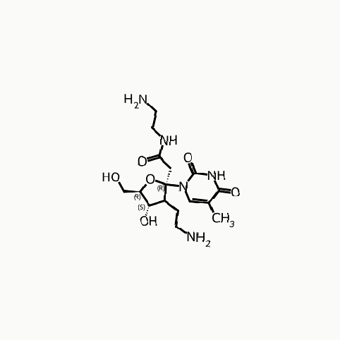 Cc1cn([C@]2(CC(=O)NCCN)O[C@H](CO)[C@@H](O)C2CCN)c(=O)[nH]c1=O